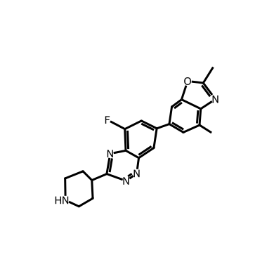 Cc1nc2c(C)cc(-c3cc(F)c4nc(C5CCNCC5)nnc4c3)cc2o1